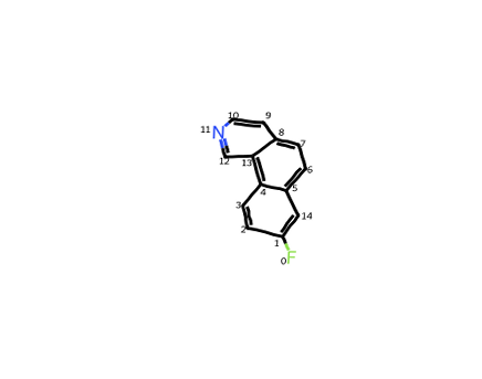 Fc1ccc2c(ccc3ccncc32)c1